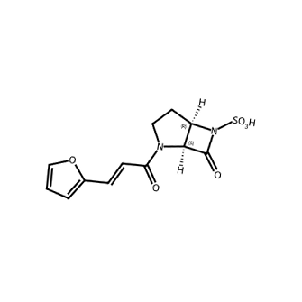 O=C(C=Cc1ccco1)N1CC[C@@H]2[C@H]1C(=O)N2S(=O)(=O)O